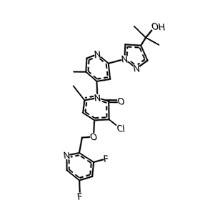 Cc1cnc(-n2cc(C(C)(C)O)cn2)cc1-n1c(C)cc(OCc2ncc(F)cc2F)c(Cl)c1=O